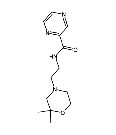 CC1(C)CN(CCNC(=O)c2cnccn2)CCO1